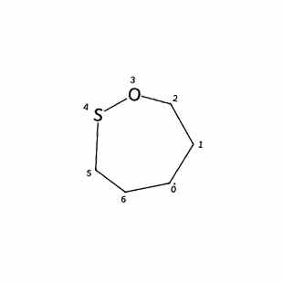 [CH]1CCOSCC1